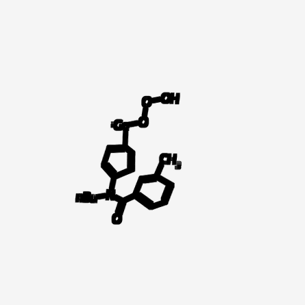 CCCCN(C(=O)c1cccc(C)c1)c1cc[c]([Ge][O]OO)cc1